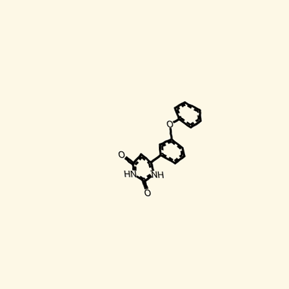 O=c1cc(-c2cccc(Oc3ccccc3)c2)[nH]c(=O)[nH]1